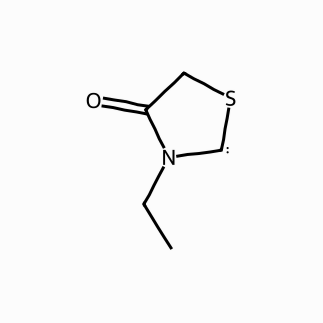 CCN1[C]SCC1=O